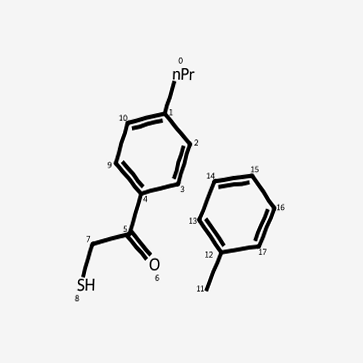 CCCc1ccc(C(=O)CS)cc1.Cc1ccccc1